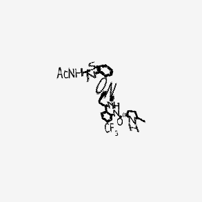 CC(=O)Nc1nc2c(Oc3cc(-c4ccc(C(F)(F)F)cc4NC(=O)[C@@H]4CCC(C)N4)ncn3)cccc2s1